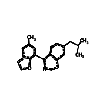 Cc1cc(-c2nccc3cc(CC(C)C)ccc23)c2occc2c1